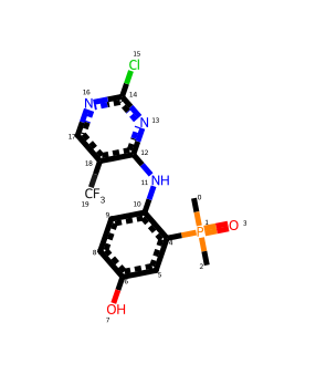 CP(C)(=O)c1cc(O)ccc1Nc1nc(Cl)ncc1C(F)(F)F